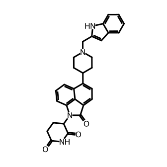 O=C1CCC(N2C(=O)c3ccc(C4CCN(Cc5cc6ccccc6[nH]5)CC4)c4cccc2c34)C(=O)N1